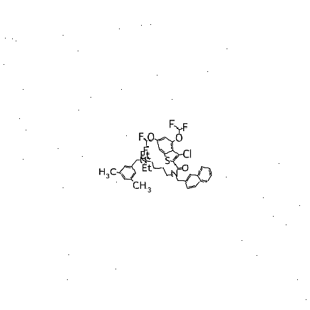 CC[N+](CC)(CCCCN(Cc1ccc2ccccc2c1)C(=O)c1sc2cc(OC(F)F)cc(OC(F)F)c2c1Cl)Cc1cc(C)cc(C)c1